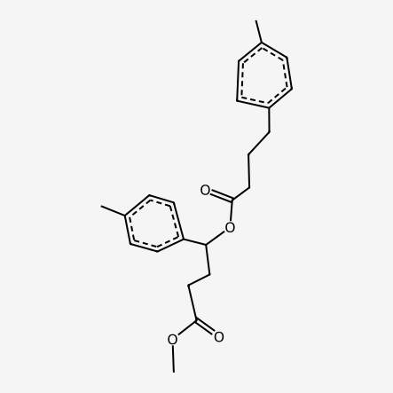 COC(=O)CCC(OC(=O)CCCc1ccc(C)cc1)c1ccc(C)cc1